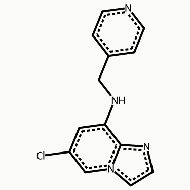 Clc1cc(NCc2ccncc2)c2nccn2c1